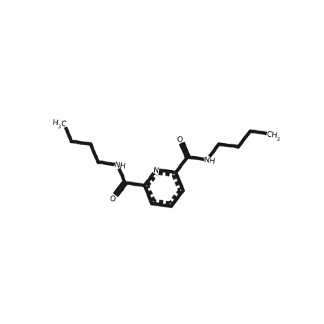 CCCCNC(=O)c1cccc(C(=O)NCCCC)n1